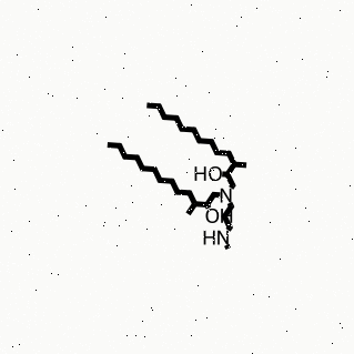 CCCCCCCCCCC(C)C(O)CN(CCCNC)CC(O)C(C)CCCCCCCCCC